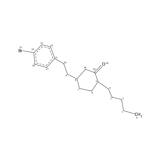 CCCCCC1CCC(CCc2ccc(Br)cc2)CC1=O